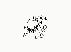 CCOC(=O)[C@@]12C[C@H]1/C=C\CCCCC[C@H](NC(=O)OC(C)(C)C)C(=O)N1C[C@H](Oc3nc4ccccc4nc3-c3cccc(Br)c3)C[C@H]1C(=O)N2